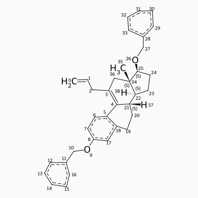 C=CCC1=C2c3ccc(OCc4ccccc4)cc3CC[C@H]2[C@@H]2CC[C@H](OCc3ccccc3)[C@@]2(C)C1